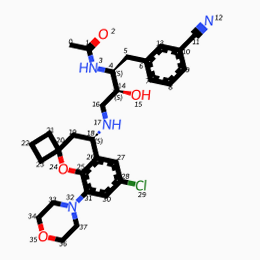 CC(=O)N[C@@H](Cc1cccc(C#N)c1)[C@@H](O)CN[C@H]1CC2(CCC2)Oc2c1cc(Cl)cc2N1CCOCC1